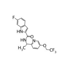 CC(NC(=O)c1cc2ccc(F)cc2[nH]1)c1ccc(OCC(F)(F)F)cn1